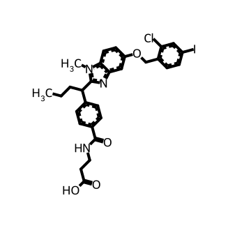 CCCC(c1ccc(C(=O)NCCC(=O)O)cc1)c1nc2cc(OCc3ccc(I)cc3Cl)ccc2n1C